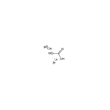 O=C(O)O.[Ce].[La].[Nd].[Pr]